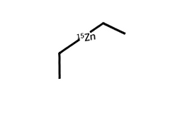 C[CH2][15Zn][CH2]C